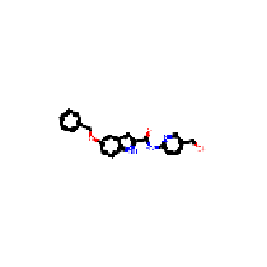 O=C(Nc1ccc(CO)cn1)c1cc2cc(OCc3ccccc3)ccc2[nH]1